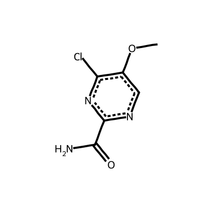 COc1cnc(C(N)=O)nc1Cl